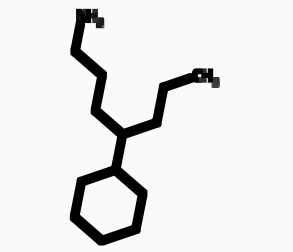 CCCC(CCCN)C1CCCCC1